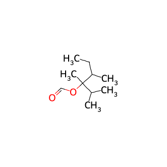 CCC(C)C(C)(OC=O)C(C)C